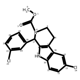 COC(=O)N1CCc2c([nH]c3ccc(Cl)cc23)C1c1cccc(Cl)c1